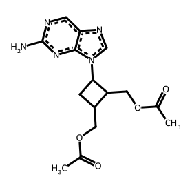 CC(=O)OCC1CC(n2cnc3cnc(N)nc32)C1COC(C)=O